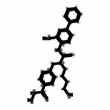 COc1cc(-c2ccccc2)ccc1NC(=O)N(CCCCO)Cc1ccc(C(=O)NO)cc1